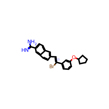 N=C(N)c1ccc2cc(/C=C(\Br)c3cccc(OC4CCCC4)c3)ccc2c1